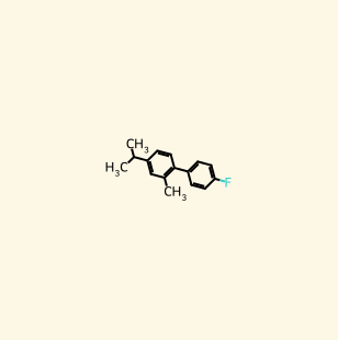 Cc1cc(C(C)C)ccc1-c1ccc(F)cc1